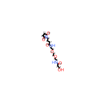 O=C(CCO)NCCOCCOCCNC(=O)CCCN1C(=O)C=CC1=O